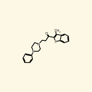 Cc1c(C(=O)CCN2CCN(c3ccccc3)CC2)sc2ccccc12